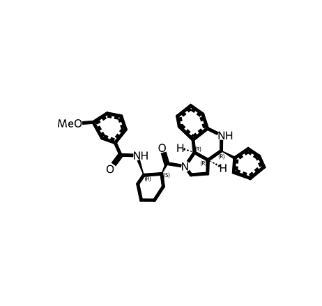 COc1cccc(C(=O)N[C@@H]2CCCC[C@@H]2C(=O)N2CC[C@@H]3[C@H](c4ccccc4)Nc4ccccc4[C@@H]32)c1